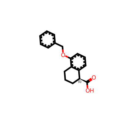 O=C(O)[C@H]1CCCc2c(OCc3ccccc3)cccc21